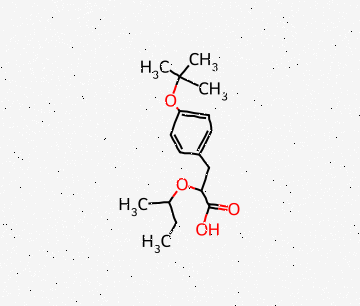 CCC(C)OC(Cc1ccc(OC(C)(C)C)cc1)C(=O)O